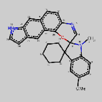 COc1ccc2c(c1)C1(CCCCC1)C1(C=Nc3ccc4cc5[nH]ccc5cc4c3O1)N2C